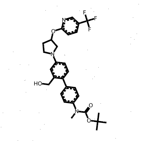 CN(C(=O)OC(C)(C)C)c1ccc(-c2ccc(N3CCC(Oc4ccc(C(F)(F)F)cn4)C3)cc2CO)cc1